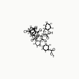 COC(=O)c1ccc([C@@H]2CCN(S(=O)(=O)c3cc(Cl)cc(Cl)c3)C2C(=O)N(NC(=O)c2c(Cl)cncc2Cl)[C@@H](Cc2ccccc2)C(=O)O)cc1